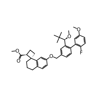 COC(=O)[C@H]1CC[C@]12CCCc1ccc(OCc3ccc(-c4cc(OC)ccc4F)c([C@H](OC)C(C)(C)C)c3)cc12